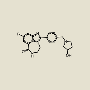 O=C1NCCn2c(-c3ccc(CN4CCC(O)C4)cc3)nc3cc(F)cc1c32